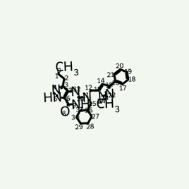 CCCc1n[nH]c2c(=O)[nH]c(N(Cc3cc(-c4ccccc4)nn3C)CC3CCCCC3)nc12